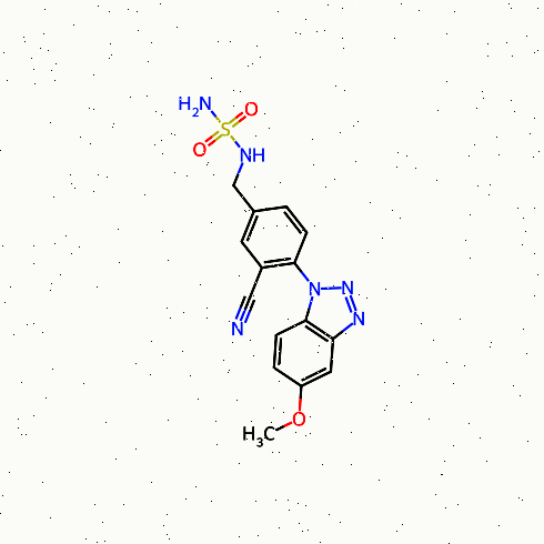 COc1ccc2c(c1)nnn2-c1ccc(CNS(N)(=O)=O)cc1C#N